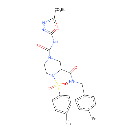 CCOC(=O)c1nnc(NC(=O)N2CCN(S(=O)(=O)c3ccc(C(F)(F)F)cc3)C(C(=O)NCc3ccc(C(C)C)cc3)C2)o1